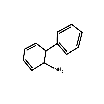 N[C]1C=CC=CC1c1ccccc1